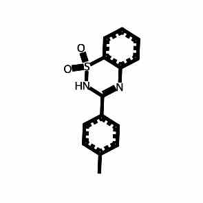 Cc1ccc(C2=Nc3ccccc3S(=O)(=O)N2)cc1